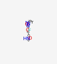 CC(C)c1noc(N2CCC(COc3ccc(C4=CCC(C(=O)NC5CCC5)CC4)cc3F)CC2)n1